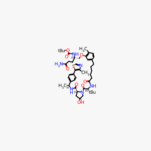 Cc1ccc(CCCCCC(=O)N[C@H](C(=O)N2C[C@H](O)C[C@H]2C(=O)N[C@@H](C)c2ccc(-c3scnc3C)cc2)C(C)(C)C)cc1OC[C@H](CCC(N)=O)NC(=O)OC(C)(C)C